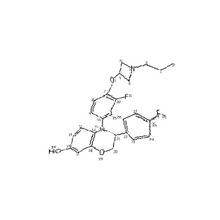 CCCN1CC(Oc2ccc(N3c4ccc(O)cc4OCC3c3ccc(F)cc3)cc2F)C1